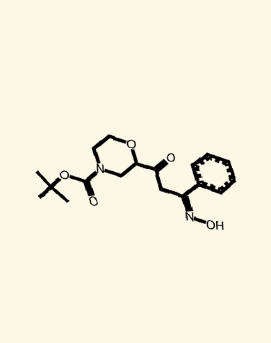 CC(C)(C)OC(=O)N1CCOC(C(=O)C/C(=N/O)c2ccccc2)C1